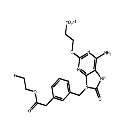 CCOC(=O)CCOc1nc(N)c2[nH]c(=O)n(Cc3cccc(CC(=O)OCCF)c3)c2n1